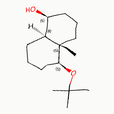 CC(C)(C)O[C@H]1CCC[C@H]2[C@@H](O)CCC[C@]12C